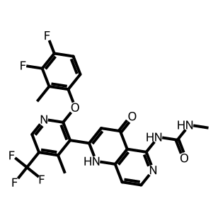 CNC(=O)Nc1nccc2[nH]c(-c3c(Oc4ccc(F)c(F)c4C)ncc(C(F)(F)F)c3C)cc(=O)c12